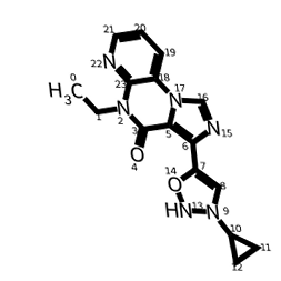 CCn1c(=O)c2c(C3=CN(C4CC4)NO3)ncn2c2cccnc21